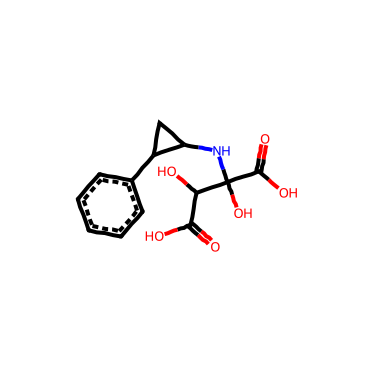 O=C(O)C(O)C(O)(NC1CC1c1ccccc1)C(=O)O